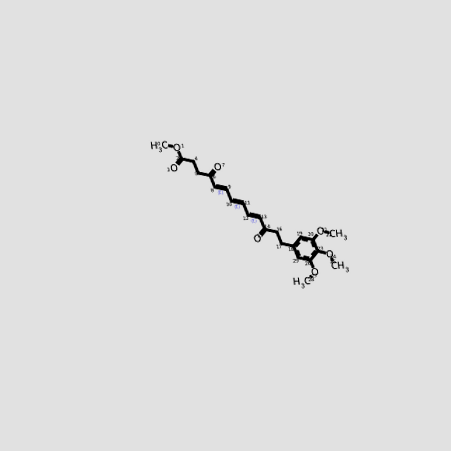 COC(=O)CCC(=O)/C=C/C=C/C=C/C(=O)CCc1cc(OC)c(OC)c(OC)c1